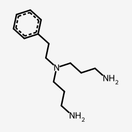 NCCCN(CCCN)CCc1ccccc1